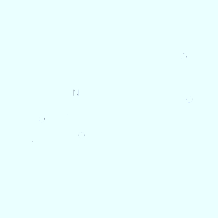 COC(=O)c1ccc(N(C)C(=O)OC(C)(C)C)c2ccccc12